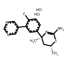 C[C@@H]1C[C@@](C)(c2ccc(F)c(-c3cncnc3)c2)N=C(N)S1.Cl.Cl